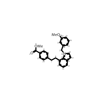 COC(=O)c1ccc(CCc2cccc3ccn(Cc4cccc(OC)c4)c23)cc1